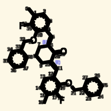 Cc1ccc(/C=C2\CCC/C(=C\c3ccc(C)c(F)c3OCc3ccccc3)C2=O)c(OCc2ccccc2)c1F